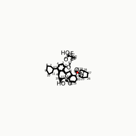 COc1ccc(C2CCCCC2)c2c1=C1CC3=C(C=CC[C@@H]3C(=O)N3C4CCC3CN(C)C4)[N+]1(C(=O)O)C1C=C1C=2.O=C(O)C(F)(F)F